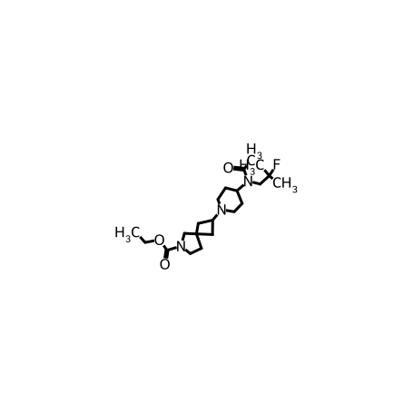 CCOC(=O)N1CCC2(CC(N3CCC(N(CC(C)(C)F)C(C)=O)CC3)C2)C1